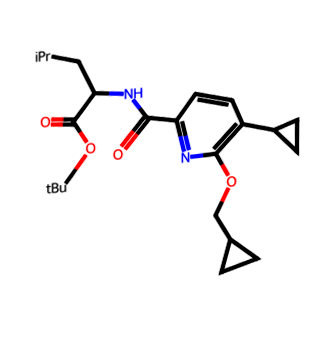 CC(C)CC(NC(=O)c1ccc(C2CC2)c(OCC2CC2)n1)C(=O)OC(C)(C)C